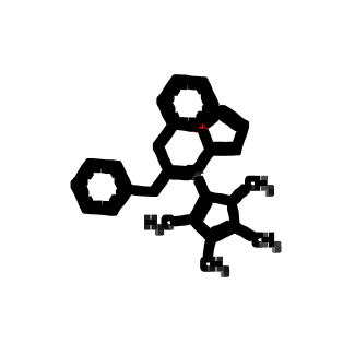 CC1=C(C)C(C)[C]([Zr]([C]2=CC=CC2)=[C](Cc2ccccc2)Cc2ccccc2)=C1C